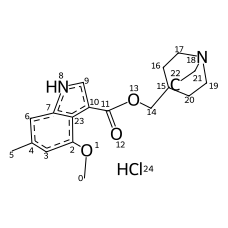 COc1cc(C)cc2[nH]cc(C(=O)OCC34CCN(CC3)CC4)c12.Cl